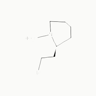 O=C(O)N1CCCC[C@H]1CCBr